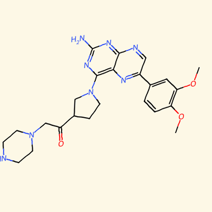 COc1ccc(-c2cnc3nc(N)nc(N4CCC(C(=O)CN5CCNCC5)C4)c3n2)cc1OC